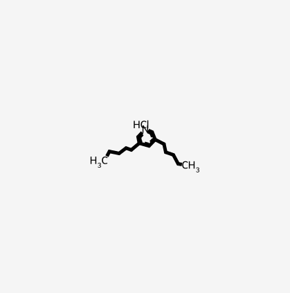 CCCCCc1cncc(CCCCC)c1.Cl